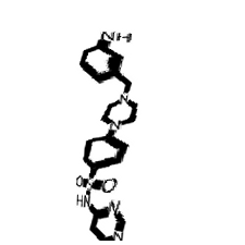 N=C1C=C(CN2CCN(c3ccc(S(=O)(=O)Nc4ccncn4)cc3)CC2)C=CC1